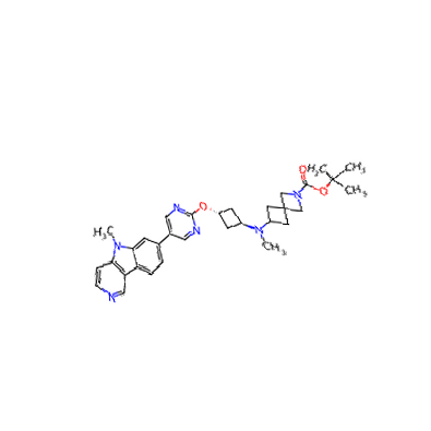 Cn1c2ccncc2c2ccc(-c3cnc(O[C@H]4C[C@H](N(C)C5CC6(C5)CN(C(=O)OC(C)(C)C)C6)C4)nc3)cc21